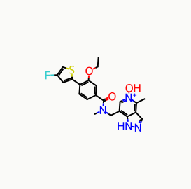 CCOc1cc(C(=O)N(C)Cc2c[n+](O)c(C)c3cn[nH]c23)ccc1-c1cc(F)cs1